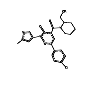 Cn1cc(-n2nc(-c3ccc(Cl)cc3)cc(C(=O)N3CCCCC3CO)c2=O)cn1